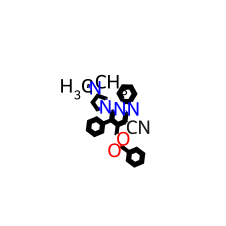 CN(C)[C@H]1CCN(c2c(-c3ccccc3)c(COC(=O)c3ccccc3)c(C#N)c3nc4ccccc4n23)C1